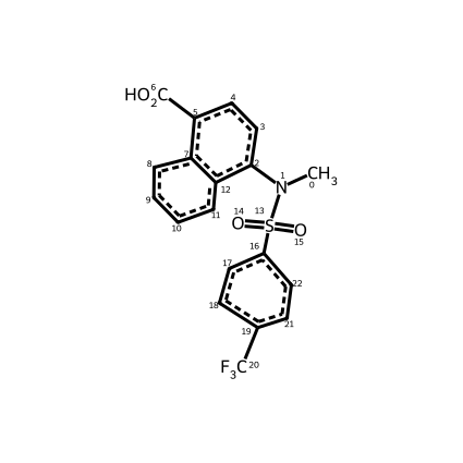 CN(c1ccc(C(=O)O)c2ccccc12)S(=O)(=O)c1ccc(C(F)(F)F)cc1